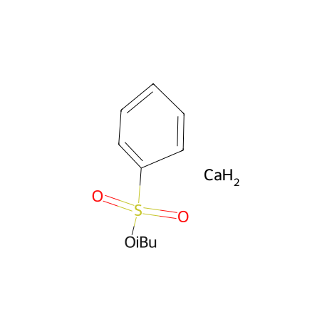 CC(C)COS(=O)(=O)c1ccccc1.[CaH2]